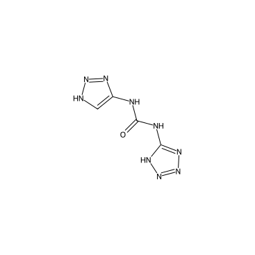 O=C(Nc1c[nH]nn1)Nc1nnn[nH]1